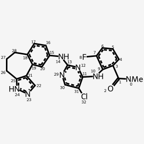 CNC(=O)c1cccc(F)c1Nc1nc(Nc2ccc3c(c2)-c2cn[nH]c2CCC3)ncc1Cl